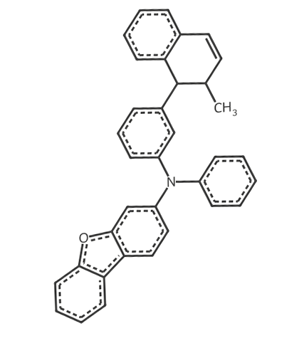 CC1C=Cc2ccccc2C1c1cccc(N(c2ccccc2)c2ccc3c(c2)oc2ccccc23)c1